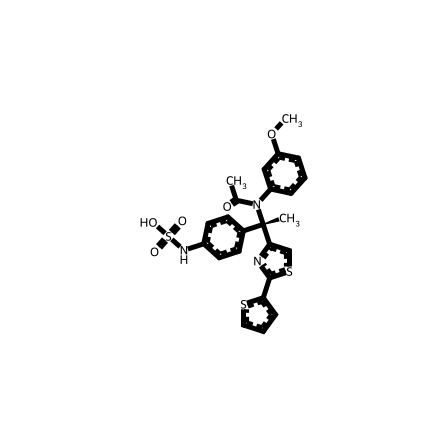 COc1cccc(N(C(C)=O)[C@@](C)(c2ccc(NS(=O)(=O)O)cc2)c2csc(-c3cccs3)n2)c1